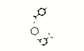 CN(C)c1ccnc(N[C@H]2CC[C@@H](CNC(=O)c3ccc(Br)cc3)CC2)n1